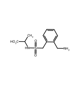 CC(NS(=O)(=O)Cc1ccccc1CN)C(=O)O